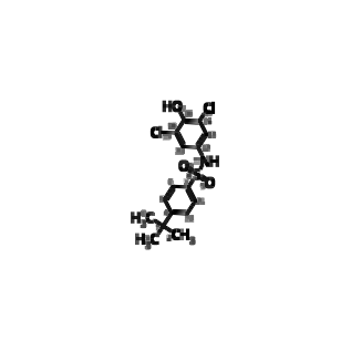 CC(C)(C)c1ccc(S(=O)(=O)Nc2cc(Cl)c(O)c(Cl)c2)cc1